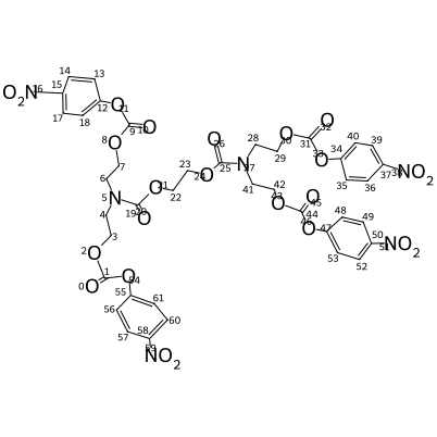 O=C(OCCN(CCOC(=O)Oc1ccc([N+](=O)[O-])cc1)C(=O)OCCOC(=O)N(CCOC(=O)Oc1ccc([N+](=O)[O-])cc1)CCOC(=O)Oc1ccc([N+](=O)[O-])cc1)Oc1ccc([N+](=O)[O-])cc1